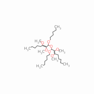 CCCCCCOC(OC(OCCCCCC)C(OC)=C(CCCCC)OC)C(OC)=C(CCCCC)OC